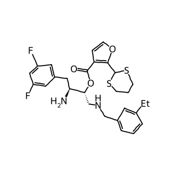 CCc1cccc(CNC[C@@H](OC(=O)c2ccoc2C2SCCCS2)[C@@H](N)Cc2cc(F)cc(F)c2)c1